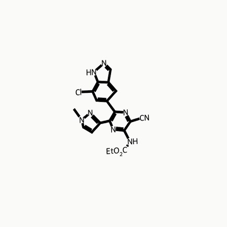 CCOC(=O)Nc1nc(-c2ccn(C)n2)c(-c2cc(Cl)c3[nH]ncc3c2)nc1C#N